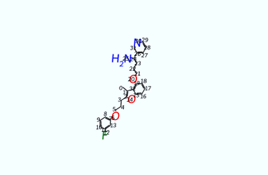 Cc1c(CCCOc2cccc(F)c2)oc2cccc(OCCCC(N)c3cccnc3)c12